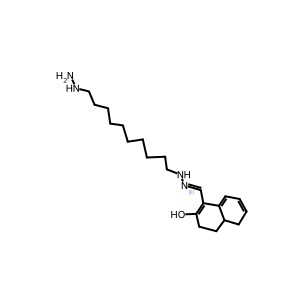 NNCCCCCCCCCCN/N=C/C1=C(O)CCC2CC=CC=C12